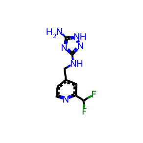 Nc1nc(NCc2ccnc(C(F)F)c2)n[nH]1